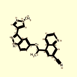 CC(Oc1ccc2[nH]nc(-c3cnn(C)c3)c2c1)c1cc(C#N)cc2ncccc12